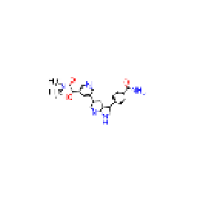 CN(C)C(=O)C(O)c1cncc(-c2cnc3[nH]cc(-c4ccc(C(N)=O)cc4)c3c2)c1